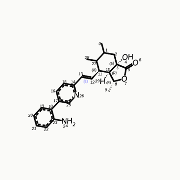 CC1C[C@@]2(O)C(=O)O[C@H](C)[C@H]2[C@@H](/C=C/c2ccc(-c3ccccc3N)cn2)C1C